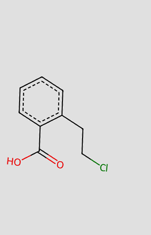 O=C(O)c1ccccc1CCCl